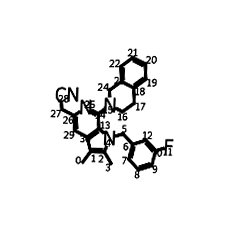 Cc1c(C)n(Cc2cccc(F)c2)c2c(N3CCc4ccccc4C3)nc(CC#N)cc12